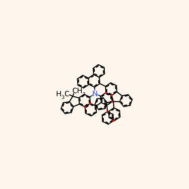 CC1(C)c2ccccc2-c2ccc(N(c3cccc(-c4ccccc4)c3-c3ccccc3)c3c(-c4ccc5c(c4)C(c4ccccc4)(c4ccccc4)c4ccccc4-5)c4ccccc4c4ccccc34)cc21